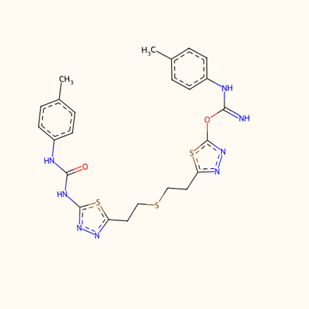 Cc1ccc(NC(=N)Oc2nnc(CCSCCc3nnc(NC(=O)Nc4ccc(C)cc4)s3)s2)cc1